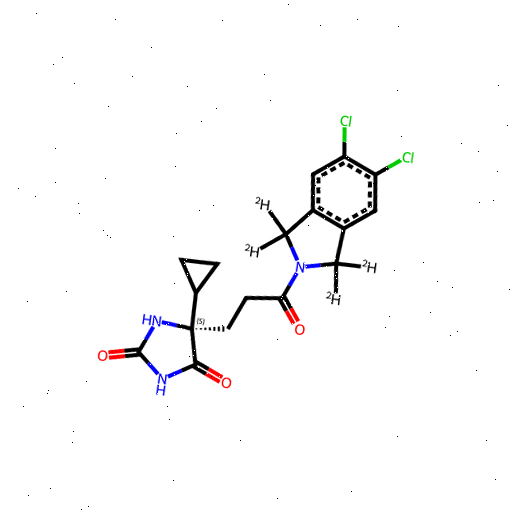 [2H]C1([2H])c2cc(Cl)c(Cl)cc2C([2H])([2H])N1C(=O)CC[C@@]1(C2CC2)NC(=O)NC1=O